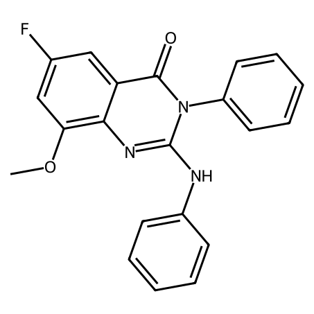 COc1cc(F)cc2c(=O)n(-c3ccccc3)c(Nc3ccccc3)nc12